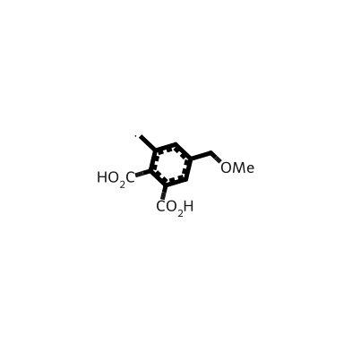 [CH2]c1cc(COC)cc(C(=O)O)c1C(=O)O